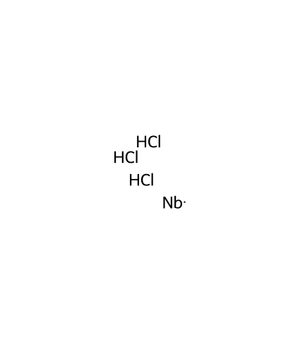 Cl.Cl.Cl.[Nb]